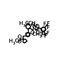 COC(=O)C1(Cc2ccc(OC)c(C3=C(CN4C(=O)O[C@H](c5cc(C(F)(F)F)cc(C(F)(F)F)c5)[C@@H]4C)CC(C)(C)CC3)c2)CCCC1